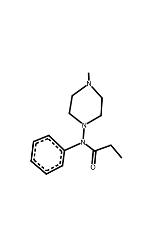 CCC(=O)N(c1cc[c]cc1)N1CCN(C)CC1